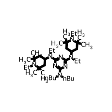 CCCCN(CCCC)c1nc(N(CC)C2CC(C)(C)N(CC)C(C)(C)C2)nc(N(CC)C2CC(C)(C)N(CC)C(C)(C)C2)n1